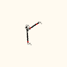 CCCCCCCCCCCCCCOCC(CNC(=O)CC)COCCCCCCCCCCCCCC